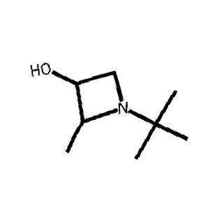 CC1C(O)CN1C(C)(C)C